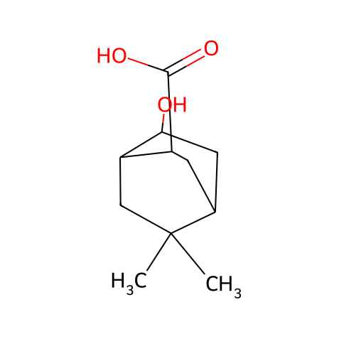 CC1(C)CC2C(O)CC1CC2C(=O)O